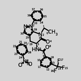 CCN1C(=O)[C@@H](NC(=O)c2cccc(C(F)(F)F)c2)[C@H](c2cccc([N+](=O)[O-])c2)c2cnn(-c3ccccc3)c21